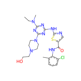 CCN(C)c1nc(Nc2ncc(C(=O)Nc3c(C)cccc3Cl)s2)nc(N2CCN(CCO)CC2)n1